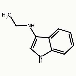 CCNc1[c][nH]c2ccccc12